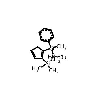 CC(C)(C)N[Si](C)(C1=C([Si](C)(C)C)C=CC1)c1ccccc1